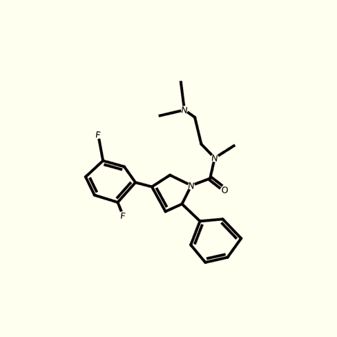 CN(C)CCN(C)C(=O)N1CC(c2cc(F)ccc2F)=CC1c1ccccc1